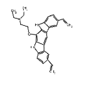 C=Cc1ccc2[nH]c3c(OCCN(CC)CC)c4[nH]c5ccc(C=C)cc5c4cc3c2c1